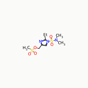 CCc1nc(COS(C)(=O)=O)cn1S(=O)(=O)N(C)C